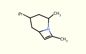 CC1=CC2CC(C(C)C)CC(C)N12